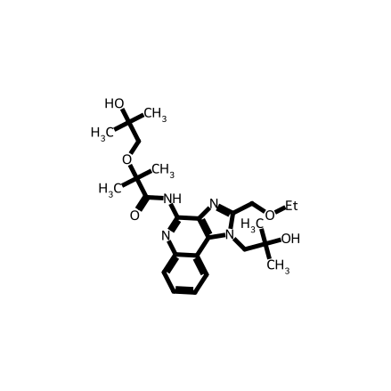 CCOCc1nc2c(NC(=O)C(C)(C)OCC(C)(C)O)nc3ccccc3c2n1CC(C)(C)O